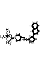 CC(C)(C)OC(=O)N1CCC(CNc2nccc(-c3ccc4ccccc4c3)n2)CC1